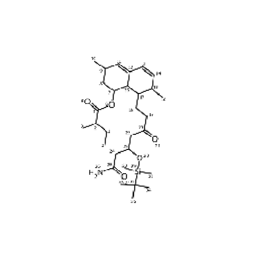 CCC(C)C(=O)OC1CC(C)C=C2C=CC(C)C(CCC(=O)CC(CC(N)=O)O[Si](C)(C)C(C)(C)C)C21